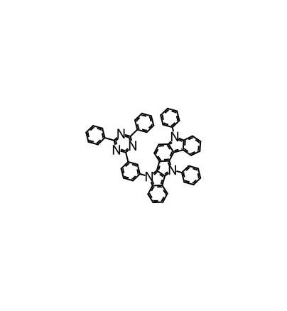 c1ccc(-c2nc(-c3ccccc3)nc(-c3cccc(-n4c5ccccc5c5c4c4ccc6c(c7ccccc7n6-c6ccccc6)c4n5-c4ccccc4)c3)n2)cc1